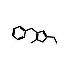 CCC1=CC(Cc2ccccc2)=C(C)C1